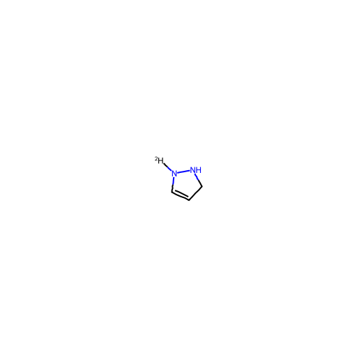 [2H]N1C=CCN1